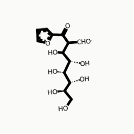 O=[C]C(C(=O)c1ccco1)C(O)[C@H](O)[C@@H](O)[C@H](O)[C@H](O)CO